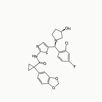 O=C(Nc1ncc([C@H](c2ccc(F)cc2Cl)N2CC[C@@H](O)C2)s1)C1(c2ccc3c(c2)OCO3)CC1